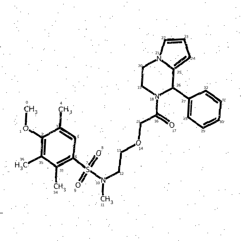 COc1c(C)cc(S(=O)(=O)N(C)CCOCC(=O)N2CCn3cccc3C2c2ccccc2)c(C)c1C